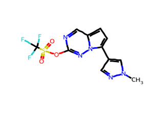 Cn1cc(-c2ccc3cnc(OS(=O)(=O)C(F)(F)F)nn23)cn1